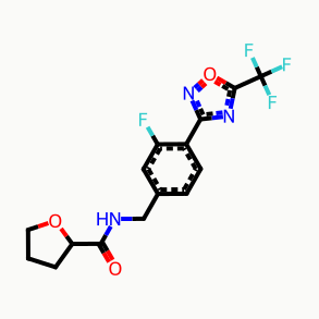 O=C(NCc1ccc(-c2noc(C(F)(F)F)n2)c(F)c1)C1CCCO1